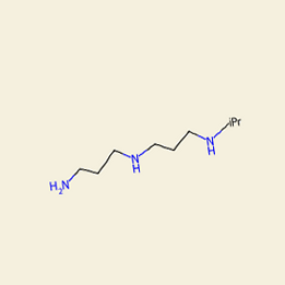 CC(C)NCCCNCCCN